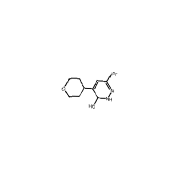 CC(C)C1=NNC(O)C(C2CCOCC2)=C1